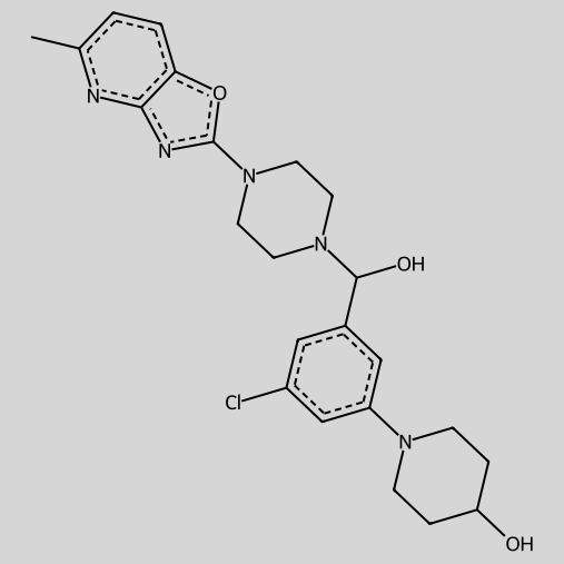 Cc1ccc2oc(N3CCN(C(O)c4cc(Cl)cc(N5CCC(O)CC5)c4)CC3)nc2n1